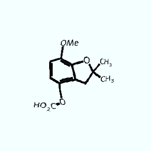 COc1ccc(OC(=O)O)c2c1OC(C)(C)C2